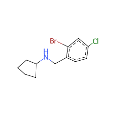 Clc1ccc(CNC2CCCC2)c(Br)c1